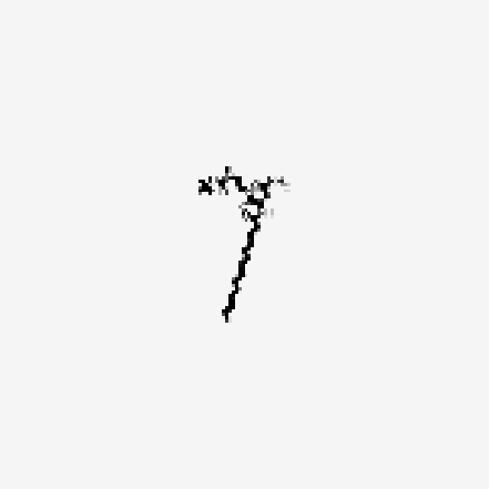 CCCCCCCCCCCCCC(=O)N[C@H](CC(N)=O)C(=O)NCCN(C)C(=O)OC(C)(C)C